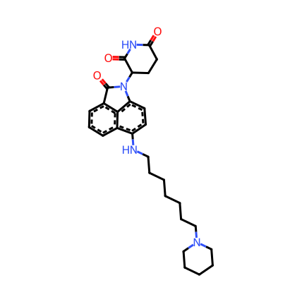 O=C1CCC(N2C(=O)c3cccc4c(NCCCCCCCN5CCCCC5)ccc2c34)C(=O)N1